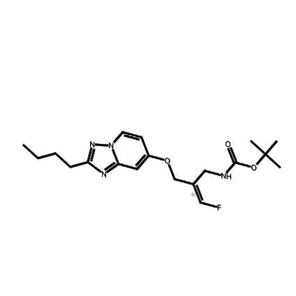 CCCCc1nc2cc(OC/C(=C/F)CNC(=O)OC(C)(C)C)ccn2n1